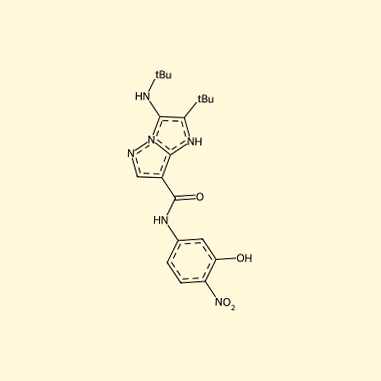 CC(C)(C)Nc1c(C(C)(C)C)[nH]c2c(C(=O)Nc3ccc([N+](=O)[O-])c(O)c3)cnn12